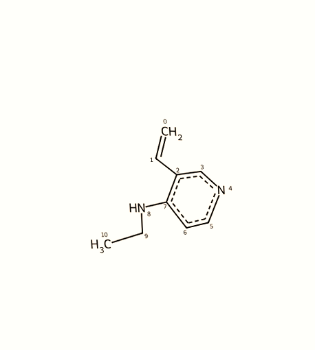 C=Cc1cnccc1NCC